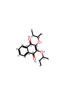 CCC(C)OC1=C(OC(C)CC)C(=O)c2ccccc2C1=O